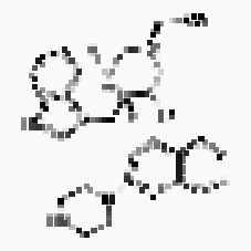 CCCN1C[C@H](CSC)C[C@@H]2c3cccc4[nH]cc(c34)C[C@H]21.c1ccc2nc(N3CCNCC3)ccc2c1